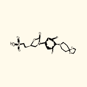 O=C1O[C@H](CCS(=O)(=O)O)CN1c1cc(F)c(N2CCC3(CC2)OCCO3)c(F)c1